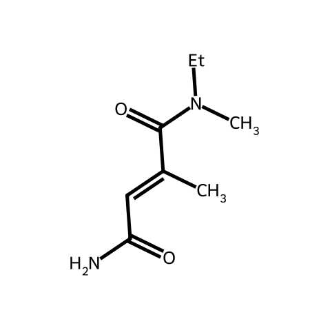 CCN(C)C(=O)/C(C)=C/C(N)=O